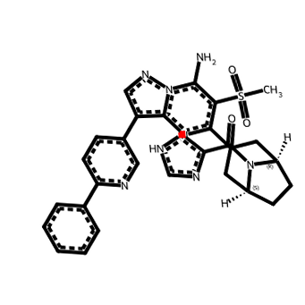 CS(=O)(=O)c1c(C2C[C@H]3CC[C@@H](C2)N3C(=O)c2nc[nH]n2)nc2c(-c3ccc(-c4ccccc4)nc3)cnn2c1N